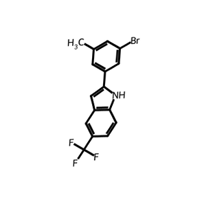 Cc1cc(Br)cc(-c2cc3cc(C(F)(F)F)ccc3[nH]2)c1